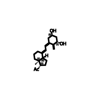 C=C1C(=CC=C2CCC[C@]3(C)[C@@H](C(C)=O)CC[C@@H]23)C[C@@H](O)C[C@@H]1O